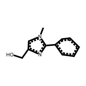 Cn1cc(CO)nc1-c1ccccc1